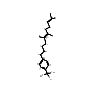 CC(C)=CCC/C(C)=C(\C)CCCCc1ccc(C(F)(F)F)cc1